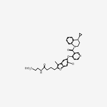 CCOC(=O)CCNC(=O)CCCc1oc2cc(Cl)c(Oc3ccncc3C(=O)N3CCN(C4CC4)c4ccccc43)cc2c1C